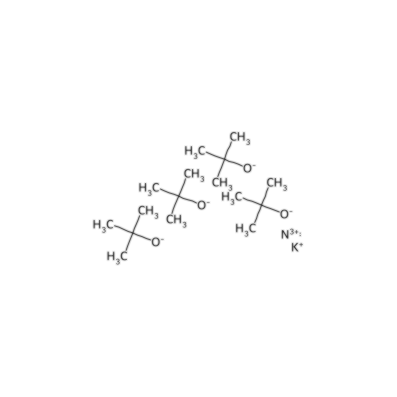 CC(C)(C)[O-].CC(C)(C)[O-].CC(C)(C)[O-].CC(C)(C)[O-].[K+].[N+3]